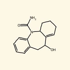 NC(=O)N1c2ccccc2CC(O)C2=CCCCC21